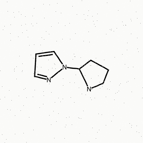 c1cnn(C2CCC[N]2)c1